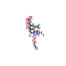 COc1c(NCCOCCC#N)c(F)cc2c(=O)c(C(=O)C[N+](=O)[O-])cn(C3CC3)c12